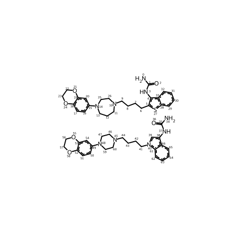 NC(=O)Nc1c(CCCCN2CCCN(c3ccc4c(c3)OCCO4)CC2)sc2ccccc12.NC(=O)Nc1cn(CCCCN2CCN(c3ccc4c(c3)OCCO4)CC2)c2ccccc12